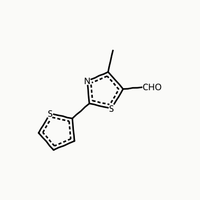 Cc1nc(-c2cccs2)sc1C=O